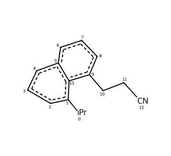 CC(C)c1cccc2cccc(CCC#N)c12